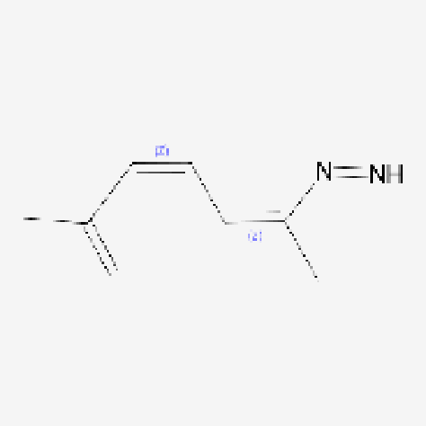 C=C(C)/C=C\C=C(\C)N=N